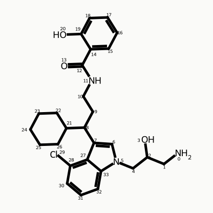 NCC(O)Cn1cc(C(CCNC(=O)c2ccccc2O)C2CCCCC2)c2c(Cl)cccc21